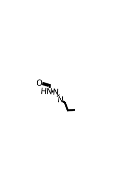 CCCN=NNC=O